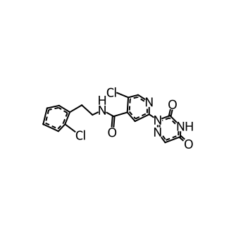 O=C(NCCc1ccccc1Cl)c1cc(-n2ncc(=O)[nH]c2=O)ncc1Cl